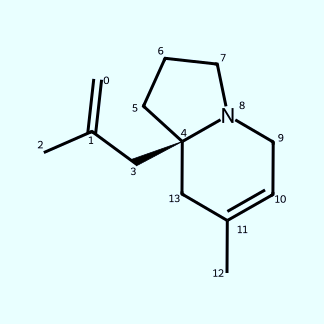 C=C(C)C[C@@]12CCCN1CC=C(C)C2